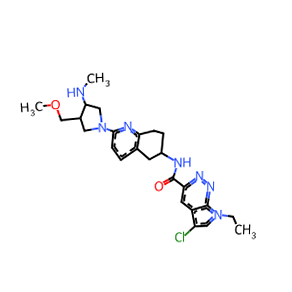 CCn1cc(Cl)c2cc(C(=O)NC3CCc4nc(N5CC(COC)C(NC)C5)ccc4C3)nnc21